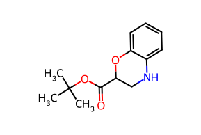 CC(C)(C)OC(=O)C1CNc2ccccc2O1